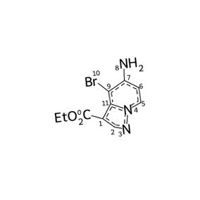 CCOC(=O)c1cnn2ccc(N)c(Br)c12